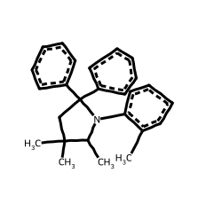 Cc1ccccc1N1C(C)C(C)(C)CC1(c1ccccc1)c1ccccc1